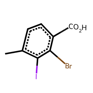 Cc1ccc(C(=O)O)c(Br)c1I